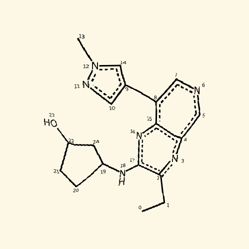 CCc1nc2cncc(-c3cnn(C)c3)c2nc1NC1CCC(O)C1